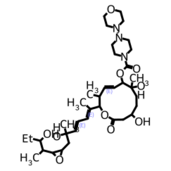 CCC(O)C(C)C1OC1CC(C)(O)/C=C/C=C(\C)C1OC(=O)CC(O)CCC(C)(O)C(OC(=O)N2CCN(N3CCOCC3)CC2)/C=C/C1C